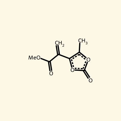 C=C(C(=O)OC)c1oc(=O)oc1C